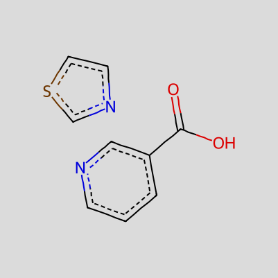 O=C(O)c1cccnc1.c1cscn1